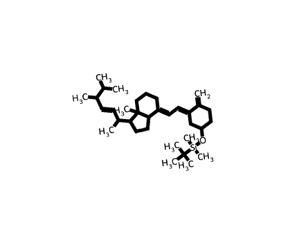 C=C1CCC(O[Si](C)(C)C(C)(C)C)CC1=CC=C1CCCC2(C)C1CCC2C(C)C=CC(C)C(C)C